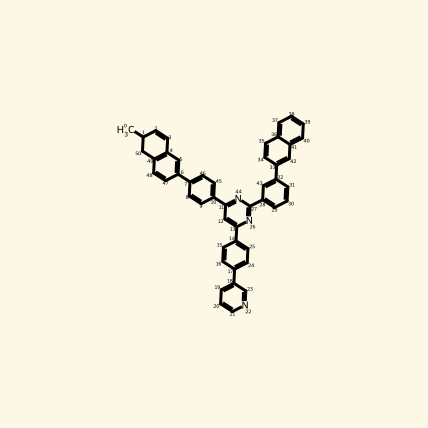 CC1C=Cc2cc(-c3ccc(-c4cc(-c5ccc(-c6cccnc6)cc5)nc(-c5cccc(-c6ccc7ccccc7c6)c5)n4)cc3)ccc2C1